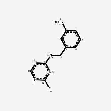 O=S(=O)(O)c1cccc(CNc2n[c]nc(F)n2)c1